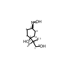 OCC(F)(F)C1(O)CCC(=NO)CC1